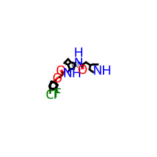 O=C(COc1ccc(Cl)c(F)c1)NC1C[C@H](NC(=O)CC2CCNCC2)C2CCC12